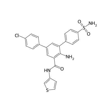 Nc1c(C(=O)Nc2ccsc2)cc(-c2ccc(Cl)cc2)cc1-c1ccc(S(N)(=O)=O)cc1